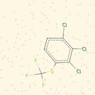 FC(F)(F)Sc1ccc(Cl)c(Cl)c1Cl